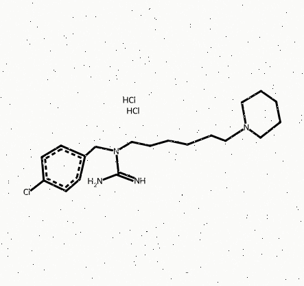 Cl.Cl.N=C(N)N(CCCCCCN1CCCCC1)Cc1ccc(Cl)cc1